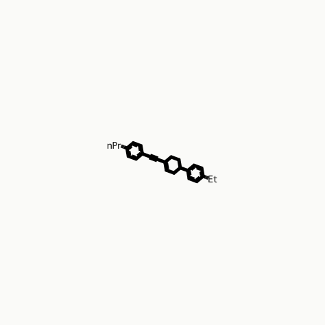 CCCc1ccc(C#CC2=CCC(c3ccc(CC)cc3)CC2)cc1